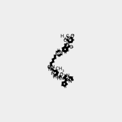 Cc1cc(NC(=O)Nc2cnc3ccnn3c2C2CCCC2)cnc1-c1noc(CCCCCN2CCN(c3ccc4c(c3)CN(C3CCC(=O)N(C)C3=O)C4=O)CC2)n1